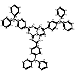 c1ccc(N(c2ccccc2)c2ccc(C3=NC4=NC(c5ccc(N(c6ccccc6)c6ccccc6)cc5)=NC5=NC(c6ccc(N(c7ccccc7)c7ccccc7)cc6)=NC(=N3)N45)cc2)cc1